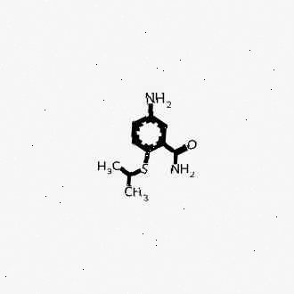 CC(C)Sc1ccc(N)cc1C(N)=O